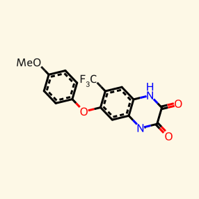 COc1ccc(Oc2cc3c(cc2C(F)(F)F)NC(=O)C(=O)[N]3)cc1